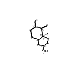 CC1CCC2C[C@H](O)CC[C@]2(C)C1C